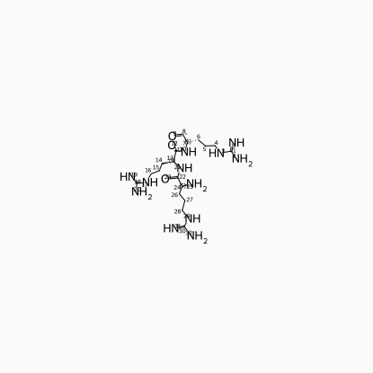 N=C(N)NCCC[C@@H]([C]=O)NC(=O)[C@H](CCCNC(=N)N)NC(=O)[C@@H](N)CCCNC(=N)N